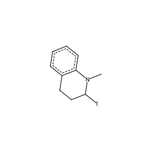 CN1c2ccccc2CCC1I